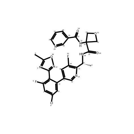 Cc1nc(-c2c(F)cc(Cl)cc2-c2cnc([C@@H](C)NC(=O)C3(NC(=O)c4cccnc4)COC3)c(F)c2)no1